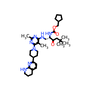 Cc1nc(NC[C@H](NC(=O)OCC2CCCC2)C(=O)CC(C)(C)C)c(C)c(N2CCC(c3ccc4c(n3)NCCC4)CC2)n1